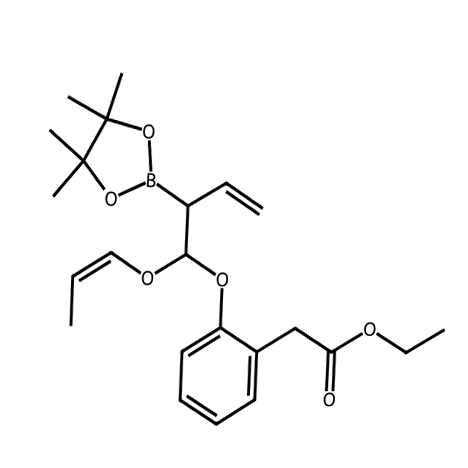 C=CC(B1OC(C)(C)C(C)(C)O1)C(O/C=C\C)Oc1ccccc1CC(=O)OCC